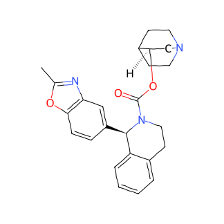 Cc1nc2cc([C@@H]3c4ccccc4CCN3C(=O)O[C@@H]3CN4CCC3CC4)ccc2o1